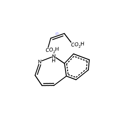 C1=Cc2ccccc2NN=C1.O=C(O)/C=C\C(=O)O